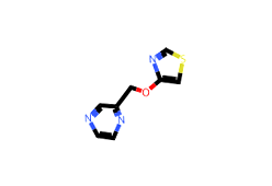 [c]1nc(OCc2cnccn2)cs1